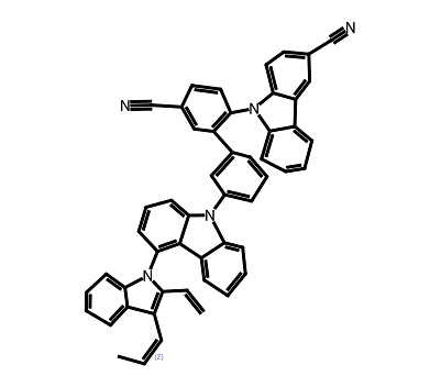 C=Cc1c(/C=C\C)c2ccccc2n1-c1cccc2c1c1ccccc1n2-c1cccc(-c2cc(C#N)ccc2-n2c3ccccc3c3cc(C#N)ccc32)c1